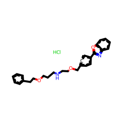 Cl.c1ccc(CCOCCCNCCOCc2ccc(-c3nc4ccccc4o3)cc2)cc1